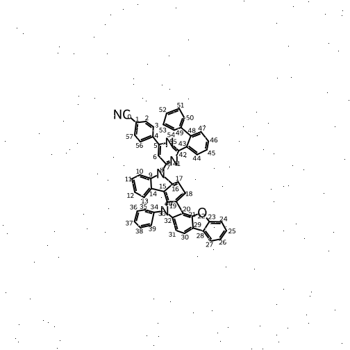 N#Cc1ccc(-c2cc(-n3c4ccccc4c4c3ccc3c5c6oc7ccccc7c6ccc5n(-c5ccccc5)c34)nc(-c3ccccc3-c3ccccc3)n2)cc1